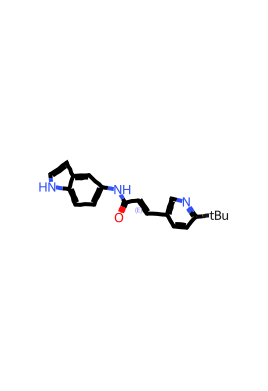 CC(C)(C)c1ccc(/C=C/C(=O)Nc2ccc3[nH]ccc3c2)cn1